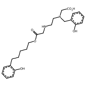 O=C(O)CN(CCNCC(=O)OCCCCCc1ccccc1O)Cc1ccccc1O